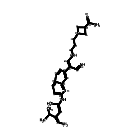 CC(C)C(=C/N)/C=C(\N)Nc1ccc2ncc(/C(C=N)=C/NCCCN3CC(C(N)=O)C3)cc2n1